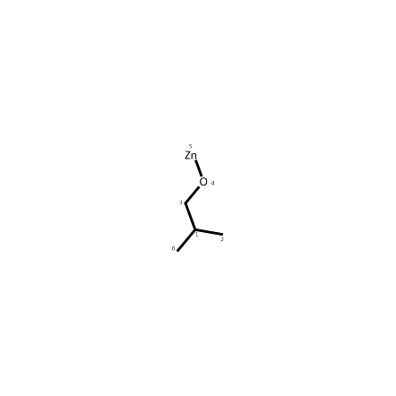 CC(C)C[O][Zn]